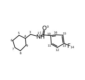 O=C(NCC1CCCCC1)c1ccc(F)cc1